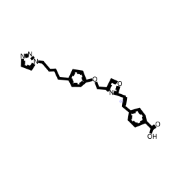 O=C(O)c1ccc(/C=C/c2nc(COc3ccc(CCCCn4ccnn4)cc3)co2)cc1